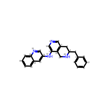 c1ccc(CC2Cc3cncc(Nc4cnc5ccccc5c4)c3CN2)cc1